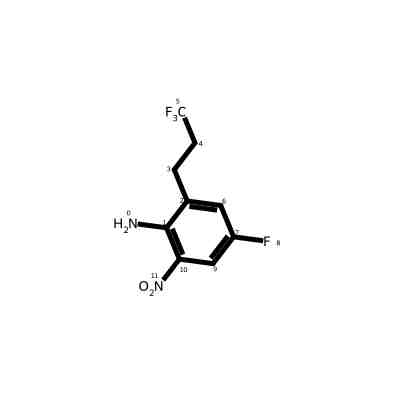 Nc1c(CCC(F)(F)F)cc(F)cc1[N+](=O)[O-]